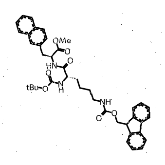 COC(=O)[C@H](Cc1ccc2ccccc2c1)NC(=O)[C@H](CCCCNC(=O)OCC1c2ccccc2-c2ccccc21)NC(=O)OC(C)(C)C